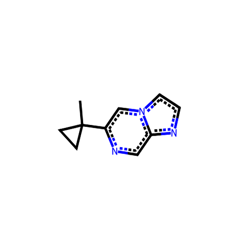 CC1(c2cn3ccnc3cn2)CC1